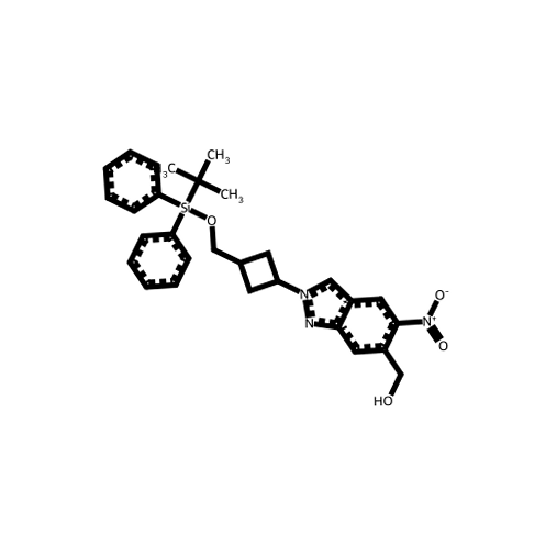 CC(C)(C)[Si](OCC1CC(n2cc3cc([N+](=O)[O-])c(CO)cc3n2)C1)(c1ccccc1)c1ccccc1